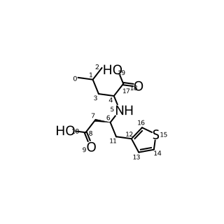 CC(C)CC(N[C@H](CC(=O)O)Cc1ccsc1)C(=O)O